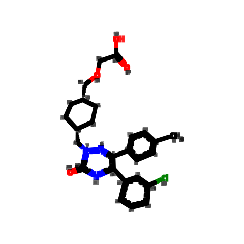 Cc1ccc(-c2nn(C[C@H]3CC[C@@H](COCC(=O)O)CC3)c(=O)nc2-c2cccc(Cl)c2)cc1